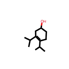 CC(C)C1=C(C(C)C)CC(O)CC1